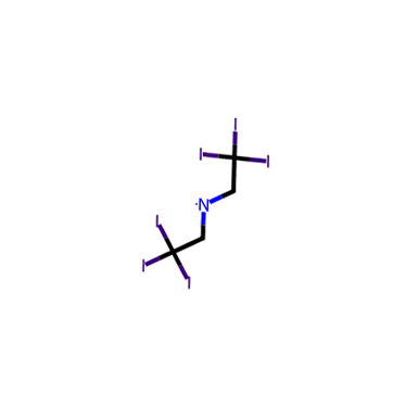 IC(I)(I)C[N]CC(I)(I)I